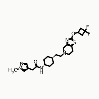 Cn1cc(CC(=O)N[C@H]2CC[C@H](CCN3CCc4sc(OC5CC(F)(F)C5)nc4C3)CC2)cn1